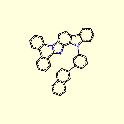 c1cc(-c2ccc3ccccc3c2)cc(-n2c3ccccc3c3ccc4c(nc5c6ccccc6c6ccccc6n45)c32)c1